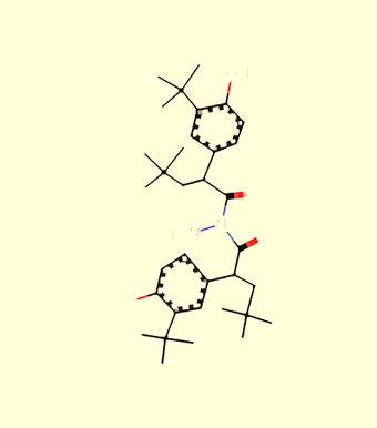 CC(C)(C)CC(C(=O)N(N)C(=O)C(CC(C)(C)C)c1ccc(O)c(C(C)(C)C)c1)c1ccc(O)c(C(C)(C)C)c1